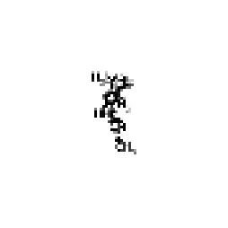 CCOc1cnc(C2=Nc3cc(C4(C)N=C(N)OCC4(F)F)c(F)cc3CN2)cn1